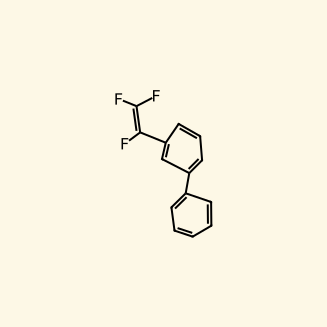 FC(F)=C(F)c1cccc(-c2ccccc2)c1